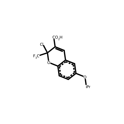 CC(C)Oc1ccc2c(c1)C=C(C(=O)O)C(Cl)(C(F)(F)F)O2